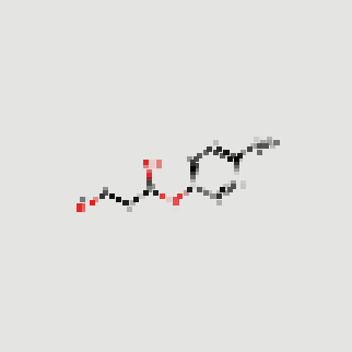 COc1ccc(OC(O)CCO)cc1